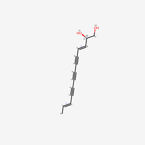 C/C=C/C#CC#CC#C/C=C/[C@@H](O)CO